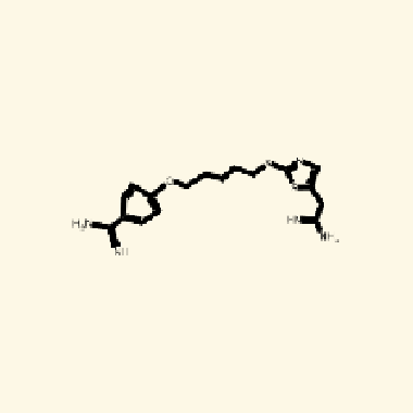 N=C(N)Cc1cnc(SCCCCCOc2ccc(C(=N)N)cc2)s1